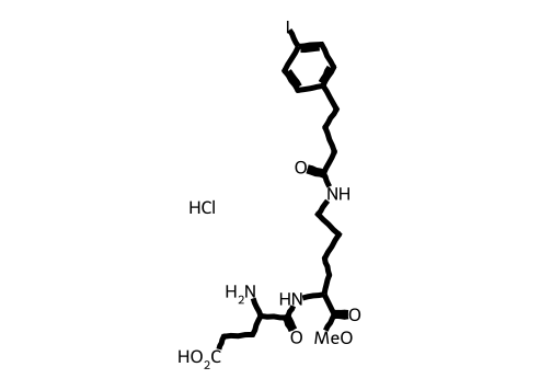 COC(=O)C(CCCCNC(=O)CCCc1ccc(I)cc1)NC(=O)C(N)CCC(=O)O.Cl